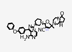 CC(C)(/C=C(/C#N)C(=O)N1CCC[C@@H](c2nc(-c3ccc(Oc4ccccc4)cc3)c3c(N)nccn23)C1)N1CCN2C(=O)CC[C@H]2C1